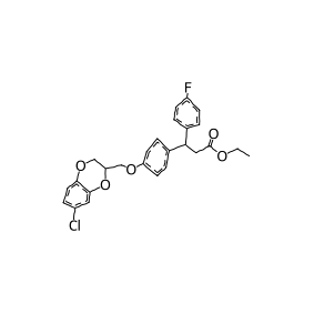 CCOC(=O)CC(c1ccc(F)cc1)c1ccc(OCC2COc3ccc(Cl)cc3O2)cc1